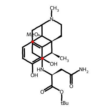 CO[C@@]12CCC(N[C@@H](CC(N)=O)C(=O)OC(C)(C)C)[C@H](C)[C@@]13CCN(C)C2Cc1ccc(O)c(O)c13